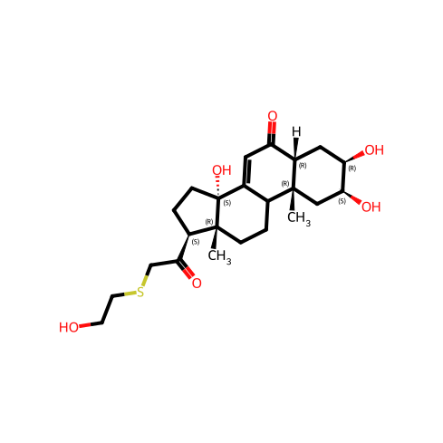 C[C@]12C[C@H](O)[C@H](O)C[C@H]1C(=O)C=C1C2CC[C@]2(C)[C@@H](C(=O)CSCCO)CC[C@@]12O